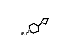 CC(C)(C)N1CCC(N2CCC2)CC1